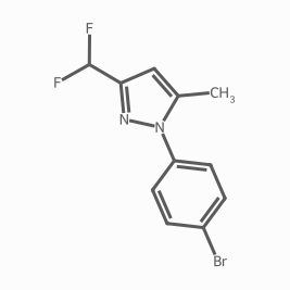 Cc1cc(C(F)F)nn1-c1ccc(Br)cc1